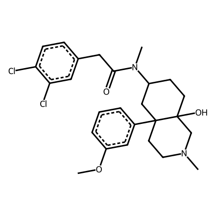 COc1cccc(C23CCN(C)CC2(O)CCC(N(C)C(=O)Cc2ccc(Cl)c(Cl)c2)C3)c1